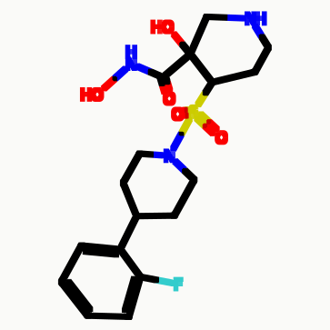 O=C(NO)C1(O)CNCCC1S(=O)(=O)N1CCC(c2ccccc2F)CC1